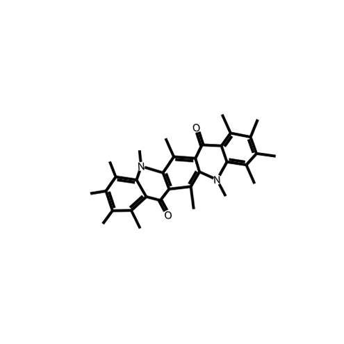 Cc1c(C)c(C)c2c(c1C)c(=O)c1c(C)c3c(c(C)c1n2C)c(=O)c1c(C)c(C)c(C)c(C)c1n3C